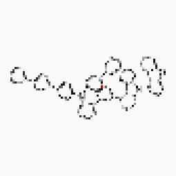 c1ccc(-c2ccc(-c3ccc(N(c4ccc(-c5ccccc5)cc4)c4ccccc4-c4cccc(-c5cccc6c5c5ccccc5n6-c5cccc6oc7ccccc7c56)c4)cc3)cc2)cc1